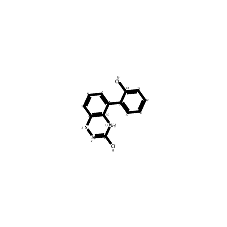 ClC1=NSc2cccc(-c3ccccc3Cl)c2N1